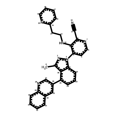 Cc1nn(-c2ccnc(C#N)c2NCCc2ccccn2)c2cccc(-c3cnc4ccccc4c3)c12